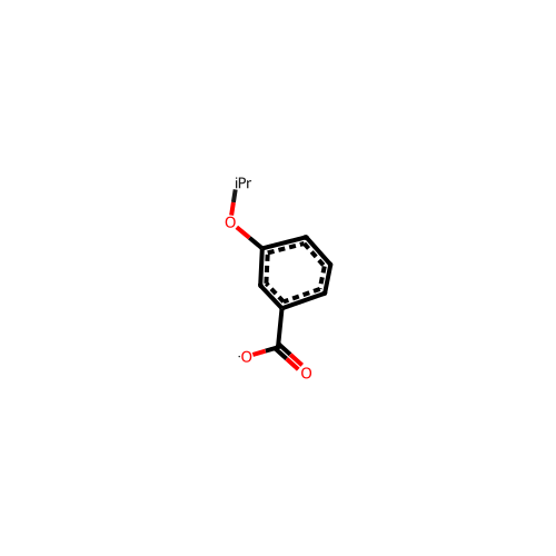 CC(C)Oc1cccc(C([O])=O)c1